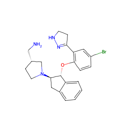 NC[C@H]1CCN([C@@H]2Cc3ccccc3[C@H]2Oc2ccc(Br)cc2C2=NNCC2)C1